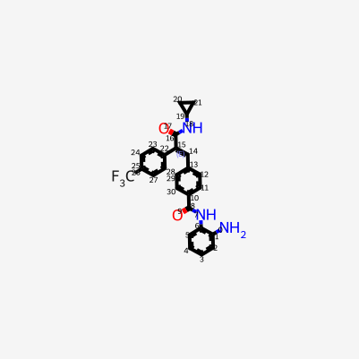 Nc1ccccc1NC(=O)c1ccc(/C=C(/C(=O)NC2CC2)c2ccc(C(F)(F)F)cc2)cc1